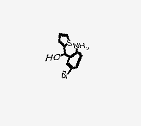 Nc1ccc(Br)cc1C(O)c1cccs1